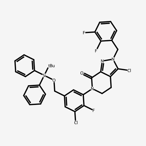 CC(C)(C)[Si](OCc1cc(Cl)c(F)c(N2CCc3c(nn(Cc4cccc(F)c4F)c3Cl)C2=O)c1)(c1ccccc1)c1ccccc1